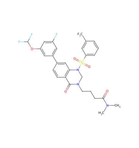 CN(C)C(=O)CCCN1CN(S(=O)(=O)c2cccc(C(F)(F)F)c2)c2cc(-c3cc(F)cc(OC(F)F)c3)ccc2C1=O